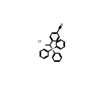 CC(c1ccc(C#N)cc1)[P+](c1ccccc1)(c1ccccc1)c1ccccc1.[Cl-]